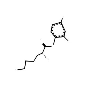 NCCCC[C@H](N)C(=O)Oc1ccc([N+](=O)[O-])cc1[N+](=O)[O-]